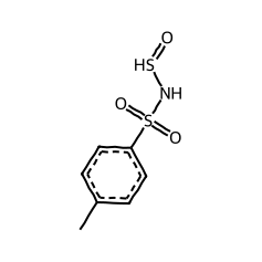 Cc1ccc(S(=O)(=O)N[SH]=O)cc1